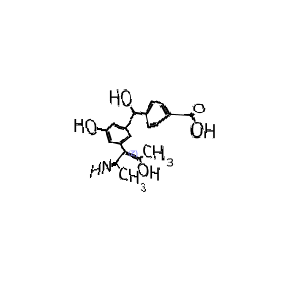 CC(=N)/C(=C(/C)O)c1cc(O)cc(C(O)c2ccc(C(=O)O)cc2)c1